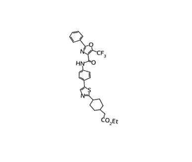 CCOC(=O)CC1CCC(c2ncc(-c3ccc(NC(=O)c4nc(-c5ccccc5)oc4C(F)(F)F)cc3)s2)CC1